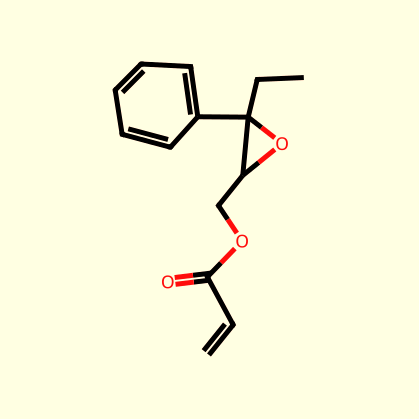 C=CC(=O)OCC1OC1(CC)c1ccccc1